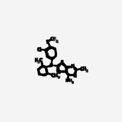 Cc1nc(N)c2nc(N(c3ccc(SC(F)(F)F)c(Cl)c3)c3c(C)cccc3C)sc2n1